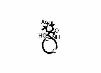 CC(=O)N1C(C)(C)CC2(CC1(C)C)C(=O)NC1(CCCCCCCCCCC1)C2O